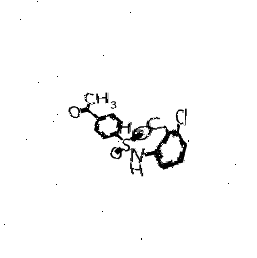 CC(=O)c1ccc(S(=O)(=O)Nc2cccc(Cl)c2C)cc1